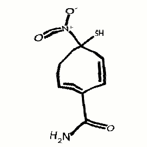 NC(=O)C1=CCC(S)([N+](=O)[O-])C=C1